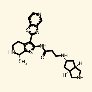 C[C@@H]1NCCc2c1sc(NC(=O)CCN[C@@H]1C[C@H]3CNC[C@H]3C1)c2-c1nc2cnccc2s1